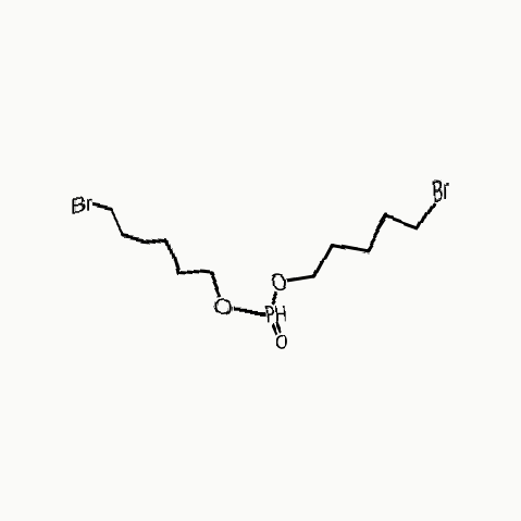 O=[PH](OCCCCCBr)OCCCCCBr